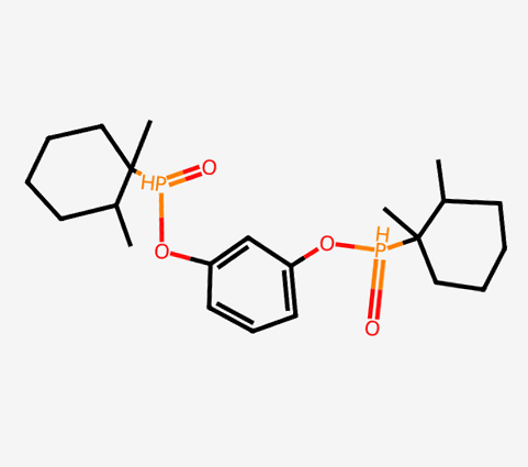 CC1CCCCC1(C)[PH](=O)Oc1cccc(O[PH](=O)C2(C)CCCCC2C)c1